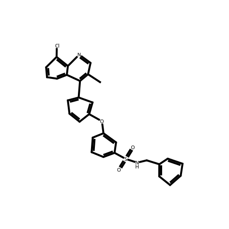 Cc1cnc2c(Cl)cccc2c1-c1cccc(Oc2cccc(S(=O)(=O)NCc3ccccc3)c2)c1